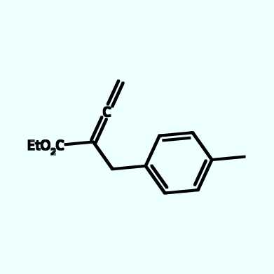 C=C=C(Cc1ccc(C)cc1)C(=O)OCC